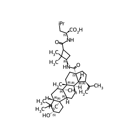 C=C(C)[C@@H]1CC[C@]2(C(=O)N[C@@H]3CC(C(=O)N[C@@H](CC(C)C)C(=O)O)C3(C)C)CC[C@]3(C)[C@H](CC[C@@H]4[C@@]5(C)CC[C@H](O)C(C)(C)[C@@H]5CC[C@]43C)[C@@H]12